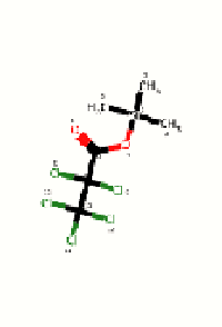 C[Si](C)(C)OC(=O)C(Cl)(Cl)C(Cl)(Cl)Cl